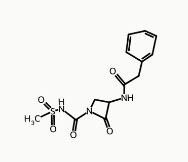 CS(=O)(=O)NC(=O)N1CC(NC(=O)Cc2ccccc2)C1=O